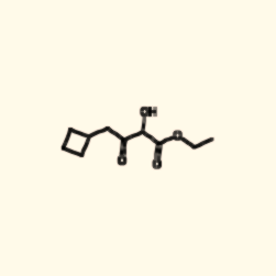 CCOC(=O)C(O)C(=O)CC1CCC1